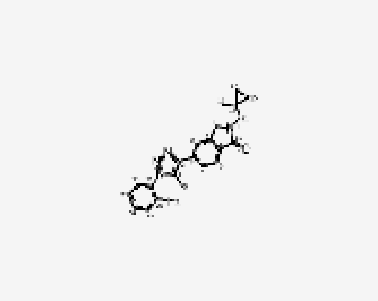 Cc1c(-c2ccc3c(c2)CN(CC2(C)CC2)C3=O)nnn1-c1ccccc1F